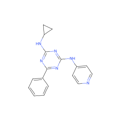 c1ccc(-c2nc(Nc3ccncc3)nc(NC3CC3)n2)cc1